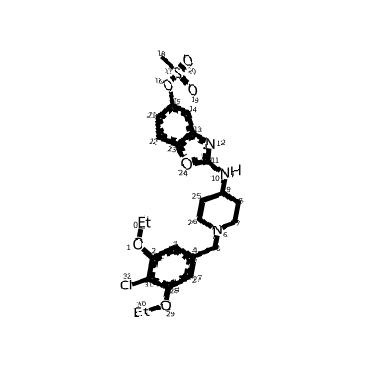 CCOc1cc(CN2CCC(Nc3nc4cc(OS(C)(=O)=O)ccc4o3)CC2)cc(OCC)c1Cl